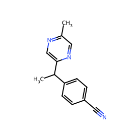 Cc1cnc(C(C)c2ccc(C#N)cc2)cn1